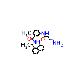 Cc1ccc(NC(=O)CCCN)cc1C(=O)N[C@H](C)c1cccc2ccccc12